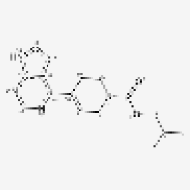 CC(C)COC(=O)N1CC=C(c2ncnc3[nH]ccc23)CC1